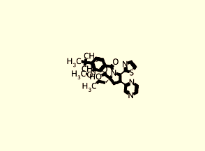 CCC[C@@]1(C(=O)O)C[C@H](c2cnccn2)[C@H](c2nccs2)N1C(=O)c1ccc(C(C)(C)C)c(OC)c1